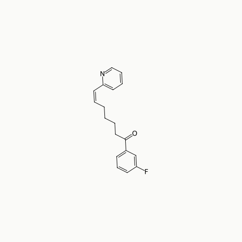 O=C(CCCC/C=C\c1ccccn1)c1cccc(F)c1